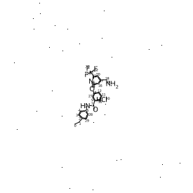 CCc1ccc(NC(=O)c2cccc(Oc3cc(CN)cc(C(F)(F)F)n3)c2)cc1.Cl